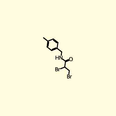 Cc1ccc(CNC(=O)C(Br)CBr)cc1